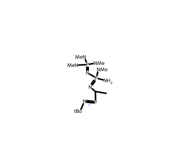 CNP(N)(=NC(C)/P=N/C(C)(C)C)N=P(NC)(NC)NC